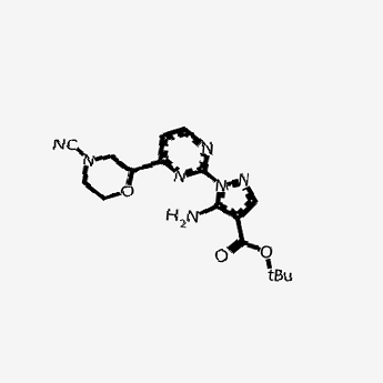 CC(C)(C)OC(=O)c1cnn(-c2nccc(C3CN(C#N)CCO3)n2)c1N